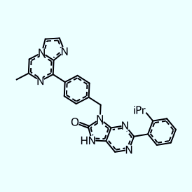 Cc1cn2ccnc2c(-c2ccc(Cn3c(=O)[nH]c4cnc(-c5ccccc5C(C)C)nc43)cc2)n1